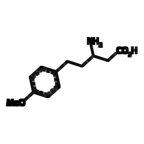 COc1ccc(CCC(N)CC(=O)O)cc1